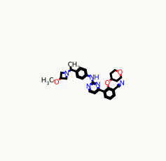 COC1CN(C(C)c2ccc(Nc3nccc(-c4cccc(C#N)c4OC4CCOCC4)n3)cc2)C1